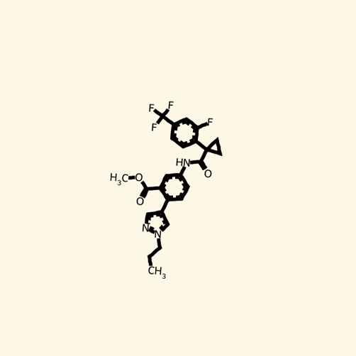 CCCn1cc(-c2ccc(NC(=O)C3(c4ccc(C(F)(F)F)cc4F)CC3)cc2C(=O)OC)cn1